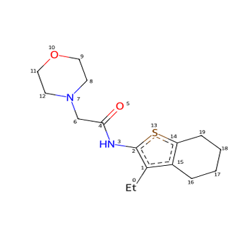 CCc1c(NC(=O)CN2CCOCC2)sc2c1CCCC2